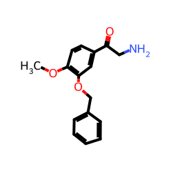 COc1ccc(C(=O)CN)cc1OCc1ccccc1